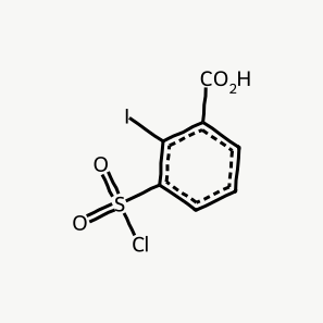 O=C(O)c1cccc(S(=O)(=O)Cl)c1I